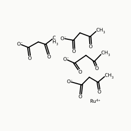 CC(=O)CC(=O)[O-].CC(=O)CC(=O)[O-].CC(=O)CC(=O)[O-].CC(=O)CC(=O)[O-].[Ru+4]